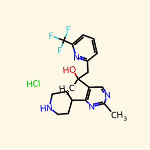 Cc1ncc(C(C)(O)Cc2cccc(C(F)(F)F)n2)c(C2CCNCC2)n1.Cl